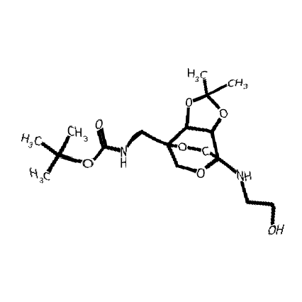 CC(C)(C)OC(=O)NCC12COC(NCCO)(CO1)C1OC(C)(C)OC12